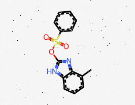 Cc1cccc2[nH]c(OS(=O)(=O)c3ccccc3)nc12